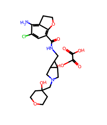 Nc1c(Cl)cc(C(=O)NCC2C3CN(CC4(O)CCOCC4)CC23)c2c1CCO2.O=C(O)C(=O)O